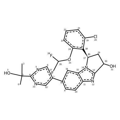 CC(C)(O)c1ncc(-c2ccc3nc4n(c3c2)[C@@H](c2c(Cl)cccc2OC(F)F)CC4O)cn1